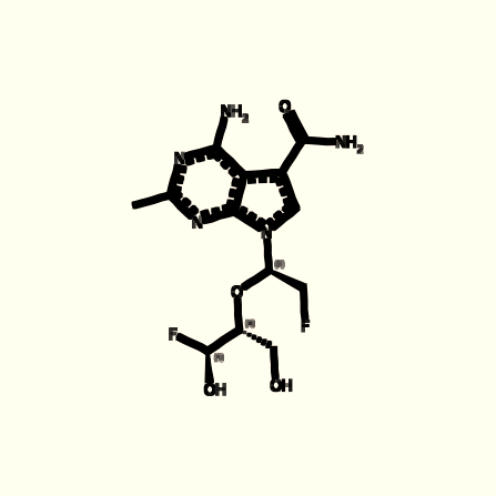 Cc1nc(N)c2c(C(N)=O)cn([C@@H](CF)O[C@H](CO)[C@@H](O)F)c2n1